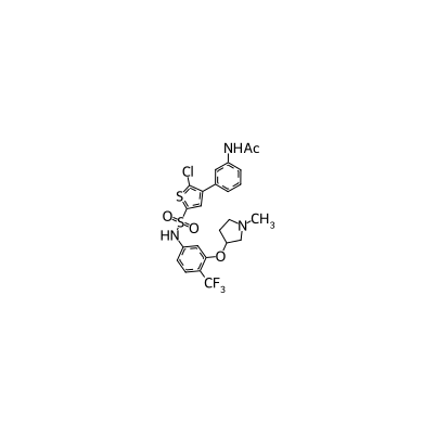 CC(=O)Nc1cccc(-c2cc(S(=O)(=O)Nc3ccc(C(F)(F)F)c(OC4CCN(C)C4)c3)sc2Cl)c1